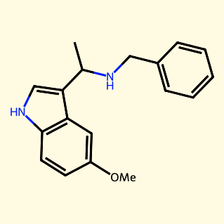 COc1ccc2[nH]cc(C(C)NCc3ccccc3)c2c1